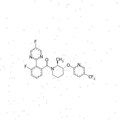 C[C@H]1[C@H](Oc2ccc(C(F)(F)F)cn2)CCCN1C(=O)c1cccc(F)c1-c1ncc(F)cn1